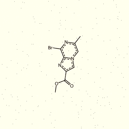 COC(=O)c1cn2cc(C)nc(Br)c2n1